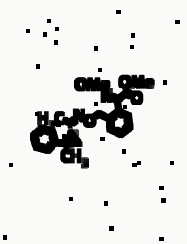 CON=C(C(=O)OC)c1ccccc1CON=C(C)[C@@H]1C[C@@]1(C)c1ccccc1